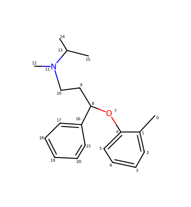 Cc1ccccc1OC(CCN(C)C(C)C)c1ccccc1